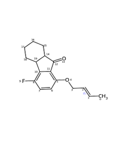 C/C=C/COc1ccc(F)c2c1C(=O)C1CCCCC21